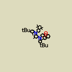 Cc1cc(N(c2ccc3c(c2)C(C)(C)CCC3(C)C)c2ccc(C(C)(C)C)cc2C)cc(N(c2ccc3oc4ccccc4c3c2)c2ccc(C(C)(C)C)cc2-c2ccccc2)c1